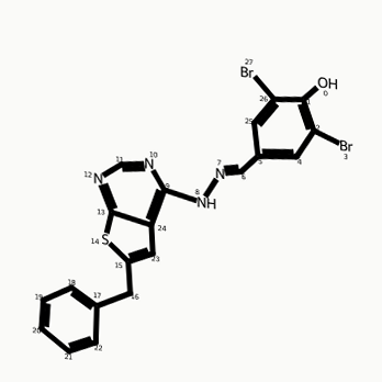 Oc1c(Br)cc(C=NNc2ncnc3sc(Cc4ccccc4)cc23)cc1Br